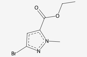 CCOC(=O)c1cc(Br)nn1C